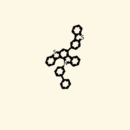 c1ccc(-c2cccc(-n3c4ccccc4c4c(-c5ccc6sc7ccccc7c6c5)cc5sc6ccccc6c5c43)c2)cc1